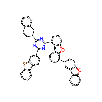 C1=CC(c2nc(-c3ccc4c(c3)sc3ccccc34)nc(-c3cccc4oc5c(-c6ccc7oc8ccccc8c7c6)cccc5c34)n2)Cc2ccccc21